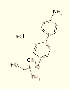 CC(C)(CO)Oc1ccc(-c2ccc(N)cc2)cc1.Cl